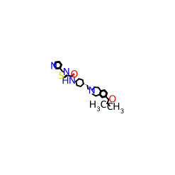 CC(C)C(=O)c1ccc2c(c1)CCN(CC[C@H]1CC[C@H](NC(=O)c3csc(-c4cccnc4)n3)CC1)CC2